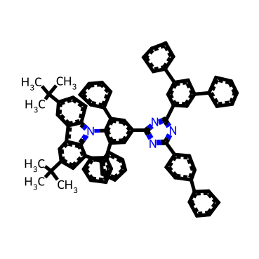 CC(C)(C)c1ccc2c(c1)c1cc(C(C)(C)C)cc(-c3ccccc3)c1n2-c1c(-c2ccccc2)cc(-c2nc(-c3ccc(-c4ccccc4)cc3)nc(-c3cc(-c4ccccc4)cc(-c4ccccc4)c3)n2)cc1-c1ccccc1